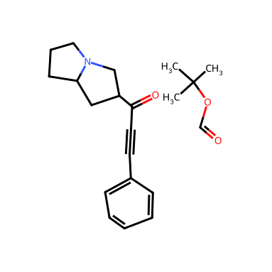 CC(C)(C)OC=O.O=C(C#Cc1ccccc1)C1CC2CCCN2C1